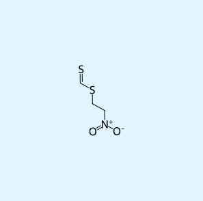 O=[N+]([O-])CCSC=S